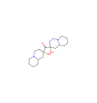 O=C(C1(O)CCN2CCCCC2C1)C1(O)CCN2CCCCC2C1